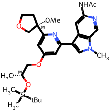 CO[C@@]1(c2cc(OC[C@@H](C)O[Si](C)(C)C(C)(C)C)cc(-c3cn(C)c4cnc(NC(C)=O)cc34)n2)CCOC1